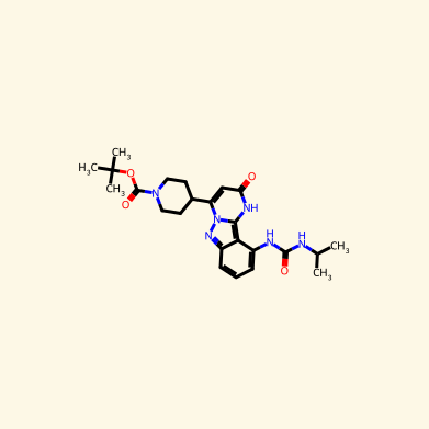 CC(C)NC(=O)Nc1cccc2nn3c(C4CCN(C(=O)OC(C)(C)C)CC4)cc(=O)[nH]c3c12